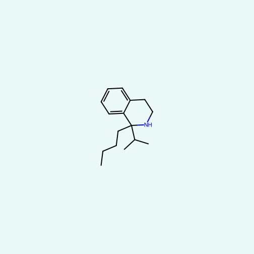 CCCCC1(C(C)C)NCCc2ccccc21